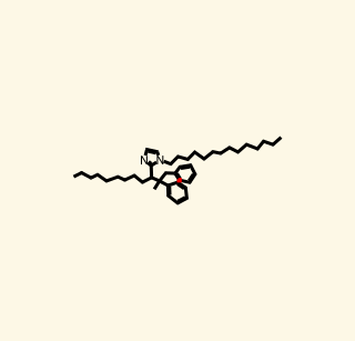 CCCCCCCCCCCCCCn1ccnc1C(CCCCCCCCC)C(C)(Cc1ccccc1)c1ccccc1